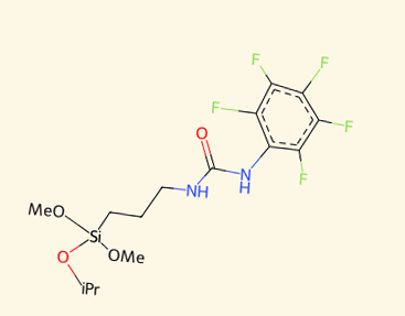 CO[Si](CCCNC(=O)Nc1c(F)c(F)c(F)c(F)c1F)(OC)OC(C)C